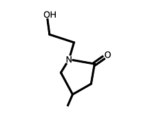 CC1CC(=O)N(CCO)C1